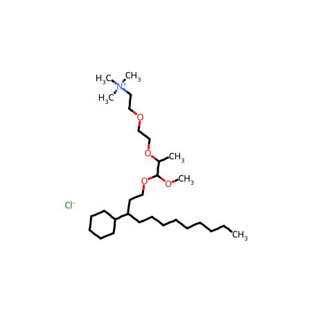 CCCCCCCCCC(CCOC(OC)C(C)OCCOCC[N+](C)(C)C)C1CCCCC1.[Cl-]